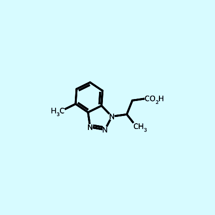 Cc1cccc2c1nnn2C(C)CC(=O)O